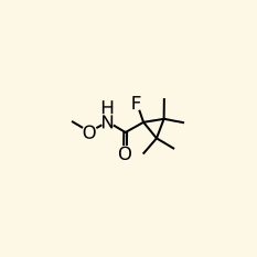 CONC(=O)C1(F)C(C)(C)C1(C)C